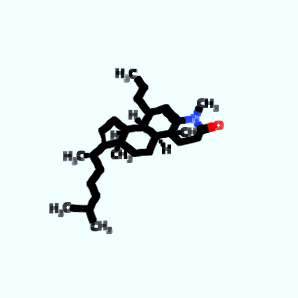 CCCC1C=C2N(C)C(=O)CC[C@]2(C)[C@H]2CC[C@]3(C)[C@@H]([C@H](C)CCCC(C)C)CC[C@H]3[C@H]12